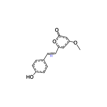 COc1cc(/C=C/c2ccc(O)cc2)oc(=O)c1